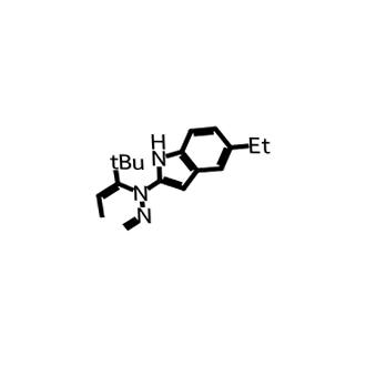 C=NN(/C(=C\C)C(C)(C)C)c1cc2cc(CC)ccc2[nH]1